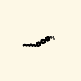 CCCCCCCCCC1CCC([C@H]2CC[C@H](c3ccc(N)cc3)CC2)CC1